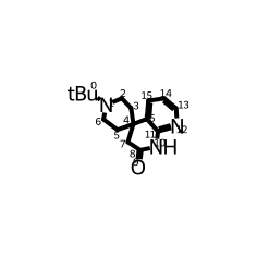 CC(C)(C)N1CCC2(CC1)CC(=O)Nc1ncccc12